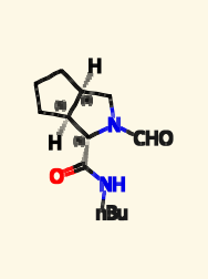 CCCCNC(=O)[C@@H]1[C@H]2CCC[C@H]2CN1C=O